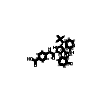 CC(C)(C)C[C@@H]1N[C@@H](C(=O)Nc2ccc(C(=O)O)cc2)[C@H](c2cccc(Cl)c2F)[C@]12C(=O)Nc1ncccc12